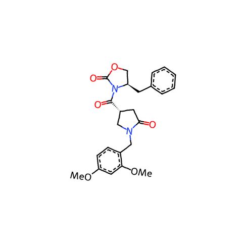 COc1ccc(CN2C[C@H](C(=O)N3C(=O)OC[C@H]3Cc3ccccc3)CC2=O)c(OC)c1